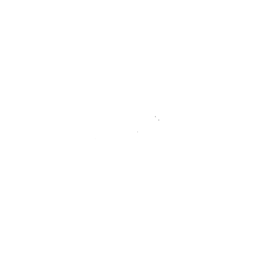 Cc1cccc(C)c1C1(C#N)C=CC=CC1